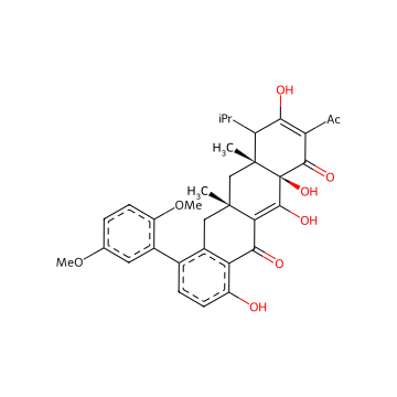 COc1ccc(OC)c(-c2ccc(O)c3c2C[C@]2(C)C[C@]4(C)C(C(C)C)C(O)=C(C(C)=O)C(=O)[C@]4(O)C(O)=C2C3=O)c1